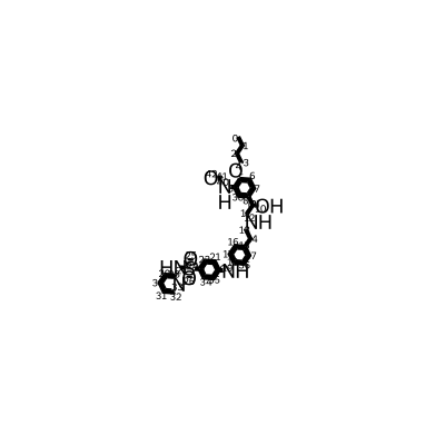 CCCCOc1ccc([C@@H](O)CNCCc2ccc(Nc3ccc(S(=O)(=O)Nc4ccccn4)cc3)cc2)cc1NC=O